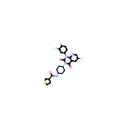 O=C(N[C@H]1CC[C@@H](n2c(=O)c3cc(F)cnc3n(-c3ccc(F)c(F)c3)c2=O)CC1)c1ccsc1